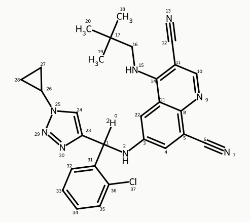 [2H]C(Nc1cc(C#N)c2ncc(C#N)c(NCC(C)(C)C)c2c1)(c1cn(C2CC2)nn1)c1ccccc1Cl